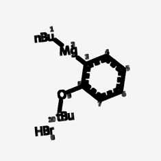 Br.CCC[CH2][Mg][c]1ccccc1OC(C)(C)C